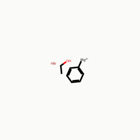 Br.CCO.[Mg+2][c]1ccccc1